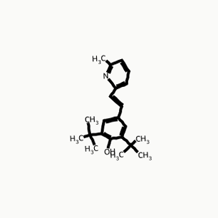 Cc1cccc(/C=C/c2cc(C(C)(C)C)c(O)c(C(C)(C)C)c2)n1